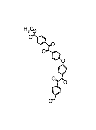 COC(=O)c1ccc(C(=O)C(=O)c2ccc(Oc3ccc(C(=O)C(=O)c4ccc(C=O)cc4)cc3)cc2)cc1